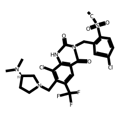 CCS(=O)(=O)c1ccc(Cl)cc1Cn1c(=O)[nH]c2c(Cl)c(CN3CC[C@H](N(C)C)C3)c(C(F)(F)F)cc2c1=O